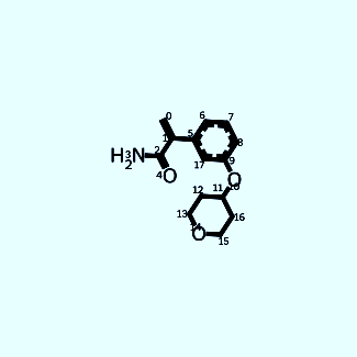 C=C(C(N)=O)c1cccc(OC2CCOCC2)c1